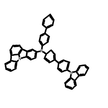 C1=CC(N(c2ccc(-c3ccccc3)cc2)c2ccc3c(c2)c2cccc4c5ccccc5n3c42)CC=C1c1ccc(-n2c3ccccc3c3ccccc32)cc1